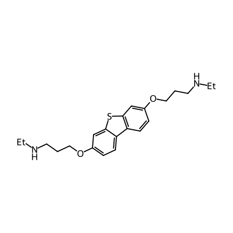 CCNCCCOc1ccc2c(c1)sc1cc(OCCCNCC)ccc12